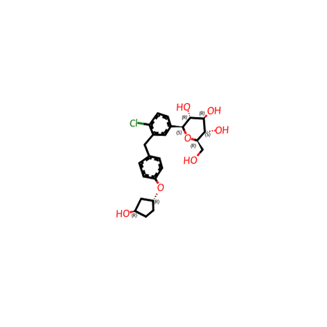 OC[C@H]1O[C@@H](c2ccc(Cl)c(Cc3ccc(O[C@@H]4CC[C@@H](O)C4)cc3)c2)[C@H](O)[C@@H](O)[C@@H]1O